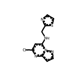 Clc1cc(NCc2nccs2)n2nccc2n1